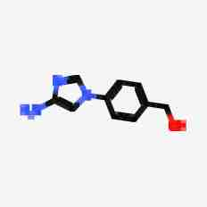 Nc1cn(-c2ccc(CO)cc2)cn1